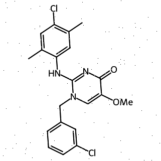 COc1cn(Cc2cccc(Cl)c2)c(Nc2cc(C)c(Cl)cc2C)nc1=O